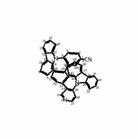 N#Cc1ccc(-n2c3ccccc3c3ccccc32)c(-c2cccc(-c3cnccc3-n3c4ccccc4c4ccccc43)c2)c1